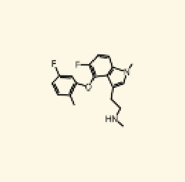 CNCCc1cn(C)c2ccc(F)c(Oc3cc(F)ccc3C)c12